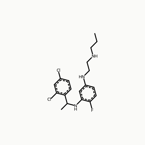 CCCNCCNc1ccc(F)c(NC(C)c2ccc(Cl)cc2Cl)c1